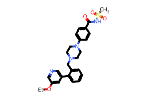 CCOc1cncc(-c2ccccc2CN2CCN(c3ccc(C(=O)NS(C)(=O)=O)cc3)CC2)c1